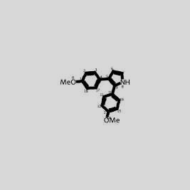 COc1ccc(-c2cc[nH]c2-c2ccc(OC)cc2)cc1